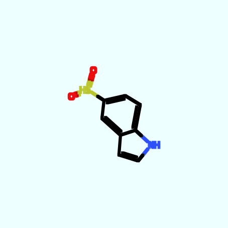 O=[SH](=O)c1ccc2[nH]ccc2c1